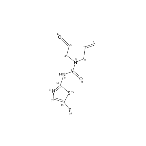 C=CCN(CC=O)C(=O)Nc1ncc(F)s1